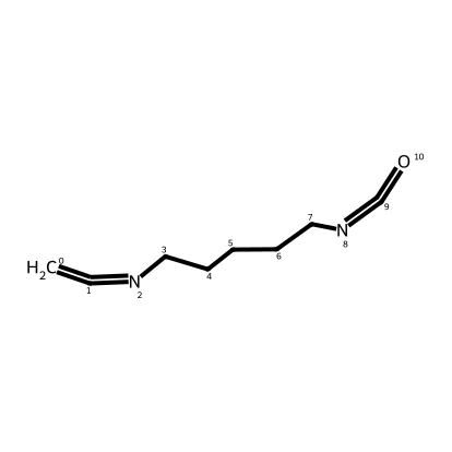 C=C=NCCCCCN=C=O